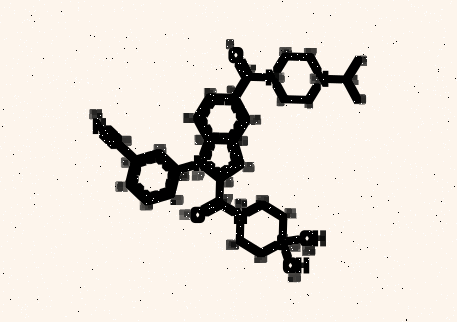 CC(C)N1CCN(C(=O)c2ccc3c(c2)cc(C(=O)N2CCS(O)(O)CC2)n3-c2cccc(C#N)c2)CC1